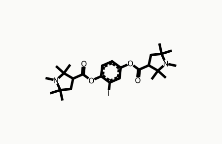 CN1C(C)(C)CC(C(=O)Oc2ccc(OC(=O)C3CC(C)(C)N(C)C3(C)C)c(I)c2)C1(C)C